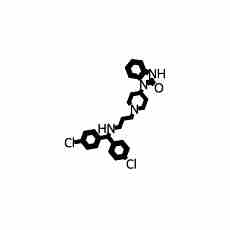 O=c1[nH]c2ccccc2n1C1CCN(CCCNC(c2ccc(Cl)cc2)c2ccc(Cl)cc2)CC1